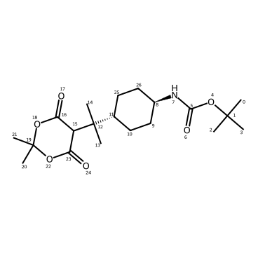 CC(C)(C)OC(=O)N[C@H]1CC[C@H](C(C)(C)C2C(=O)OC(C)(C)OC2=O)CC1